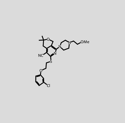 COCCN1CCN(c2nc(SCCOc3cccc(Cl)c3)c(C#N)c3c2COC(C)(C)C3)CC1